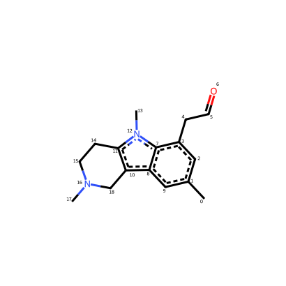 Cc1cc(CC=O)c2c(c1)c1c(n2C)CCN(C)C1